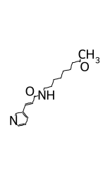 CC(=O)CCCCCCCNC(=O)/C=C/c1cccnc1